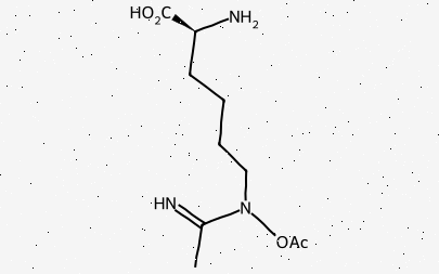 CC(=N)N(CCCC[C@H](N)C(=O)O)OC(C)=O